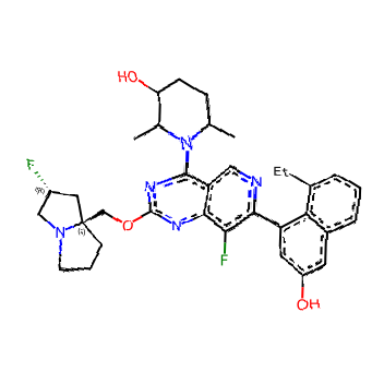 CCc1cccc2cc(O)cc(-c3ncc4c(N5C(C)CCC(O)C5C)nc(OC[C@@]56CCCN5C[C@H](F)C6)nc4c3F)c12